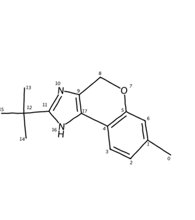 Cc1ccc2c(c1)OCc1nc(C(C)(C)C)[nH]c1-2